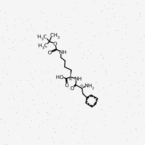 CC(C)(C)OC(=O)NCCCC[C@@H](NC(=O)[C@@H](N)Cc1ccccc1)C(=O)O